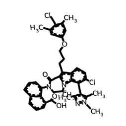 Cc1cc(OCCCc2c3n(c4c(-c5c(C)nn(C)c5C)c(Cl)ccc24)[C@H](C)CN(c2cccc4cccc(C(=O)O)c24)C3=O)cc(C)c1Cl